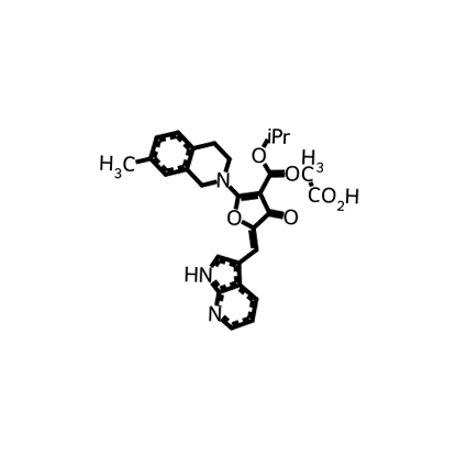 CC(=O)O.Cc1ccc2c(c1)CN(C1=C(C(=O)OC(C)C)C(=O)C(=Cc3c[nH]c4ncccc34)O1)CC2